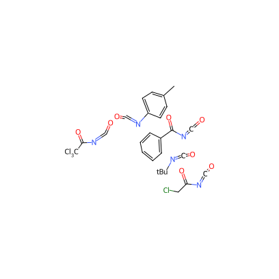 CC(C)(C)N=C=O.Cc1ccc(N=C=O)cc1.O=C=NC(=O)C(Cl)(Cl)Cl.O=C=NC(=O)CCl.O=C=NC(=O)c1ccccc1